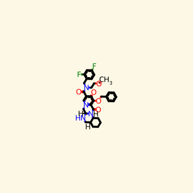 COCCN(Cc1ccc(F)cc1F)C(=O)c1cn2c(c(OCc3ccccc3)c1=O)C(=O)N1[C@@H](C2)NC[C@@H]2CCCC[C@@H]21